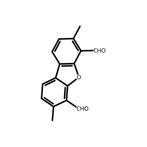 Cc1ccc2c(oc3c(C=O)c(C)ccc32)c1C=O